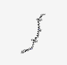 O=C(NCSCSC/N=C/[S+]([O-])CSCSCSCSC(=O)NCSCSC/N=C\OOCCO)OCCO